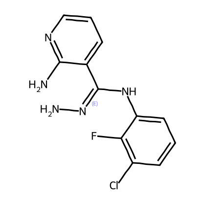 N/N=C(/Nc1cccc(Cl)c1F)c1cccnc1N